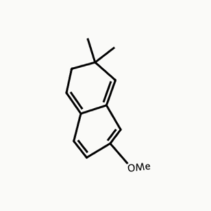 COc1ccc2c(c1)=CC(C)(C)CC=2